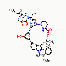 C=CC(=O)N1CC[C@](O)(C(=O)N(C)[C@H](C(=O)N[C@H]2Cc3cc(O)cc(c3)-c3ccc4c(c3)c(c(-c3ccccc3[C@@H](C)OC)n4CC)CC(C)(C)COC(=O)[C@@H]3CCCN(N3)C2=O)C(C)C)C1